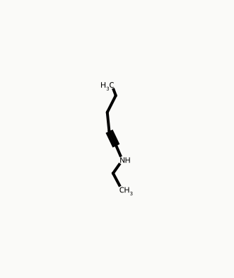 CCCC#CNCC